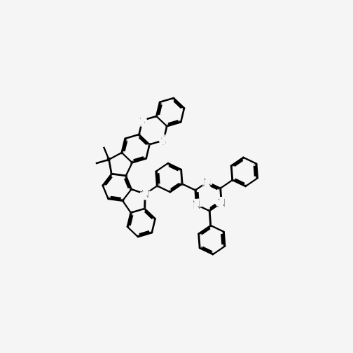 CC1(C)c2cc3c(cc2-c2c1ccc1c4ccccc4n(-c4cccc(-c5nc(-c6ccccc6)nc(-c6ccccc6)n5)c4)c21)Sc1ccccc1S3